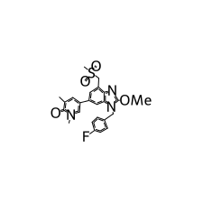 COc1nc2c(CS(C)(=O)=O)cc(-c3cc(C)c(=O)n(C)c3)cc2n1Cc1ccc(F)cc1